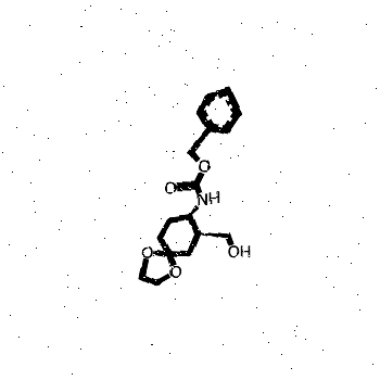 O=C(N[C@@H]1CCC2(C[C@@H]1CO)OCCO2)OCc1ccccc1